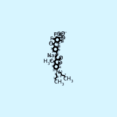 CCCCN(CCCC)c1ccc2c(C)c(/C=C/c3ccc(C(=O)c4c(F)c(F)c(S(=O)(=O)[O-])c(F)c4F)cc3)c(=O)oc2c1.[Na+]